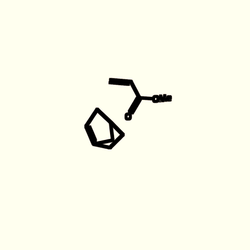 C1=C2CCC(C1)C2.C=CC(=O)OC